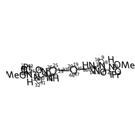 COC(=O)NC(C(=O)N1CCCC1c1ncc(C#Cc2ccc(C#Cc3ccc4nc(C5CCCN5C(=O)C(NC(=O)OC)C(C)C)[nH]c4c3)cc2)[nH]1)C(C)C